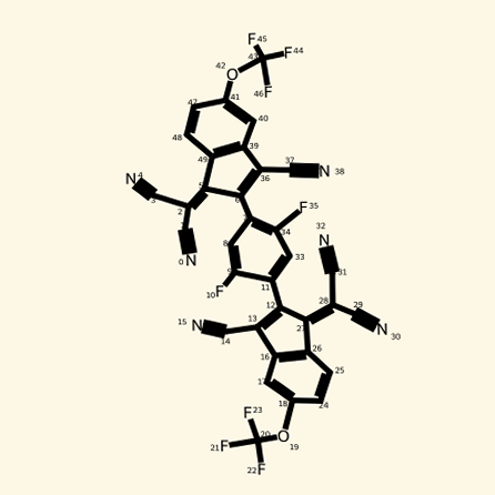 N#CC(C#N)=C1C(c2cc(F)c(C3=C(C#N)c4cc(OC(F)(F)F)ccc4C3=C(C#N)C#N)cc2F)=C(C#N)c2cc(OC(F)(F)F)ccc21